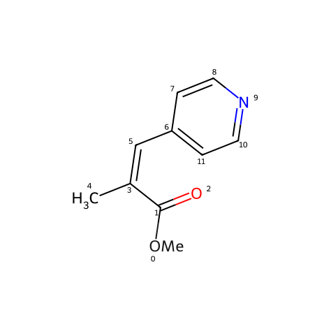 COC(=O)/C(C)=C\c1ccncc1